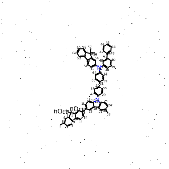 CCCCCCCCC1(CCCCCCCC)c2cc(C)ccc2-c2ccc(-c3ccc4c(c3)c3cc(C)ccc3n4-c3ccc(-c4ccc(N(c5cccc(-c6ccccc6)c5)c5ccc6c(c5)C(C)(C)c5ccccc5-6)cc4)cc3)cc21